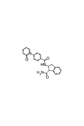 NC(=O)C1c2ccccc2CC1NC(=O)c1ccc(-n2ccccc2=O)cc1